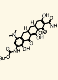 CCCCOC(=O)Nc1cc(N(C)C)c2c(c1O)C(=O)C1=C(O)[C@]3(O)C(=O)C(C(N)=O)=C(O)C[C@@H]3C[C@@H]1C2